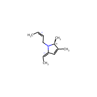 C/C=C\CN1/C(=C/C)C=C(C)[C@@H]1C